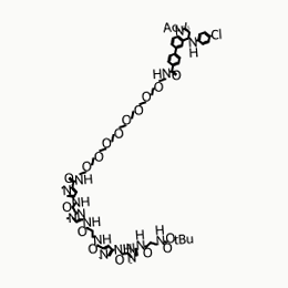 CC(=O)N1c2ccc(-c3ccc(C(=O)NCCOCCOCCOCCOCCOCCOCCOCCOCCNC(=O)c4cc(NC(=O)c5nc(NC(=O)CCNC(=O)c6cc(NC(=O)c7nc(NC(=O)CCNC(=O)OC(C)(C)C)cn7C)cn6C)cn5C)cn4C)cc3)cc2C(Nc2ccc(Cl)cc2)C[C@@H]1C